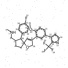 CNCC1CCC2(C=C(c3cc(-n4ccnc4C(F)(F)F)ccc3OC)CO2)C1c1ccc(F)cc1